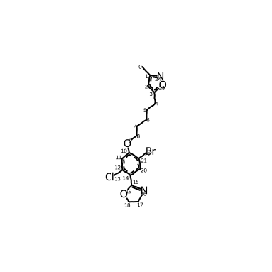 Cc1cc(CCCCCOc2cc(Cl)c(C3=NCCO3)cc2Br)on1